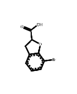 O=C(O)C1Cc2cccc(Br)c2O1